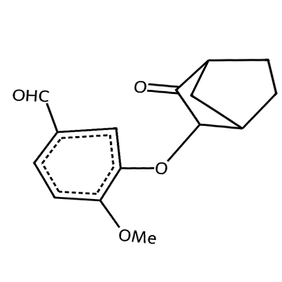 COc1ccc(C=O)cc1OC1C(=O)C2CCC1C2